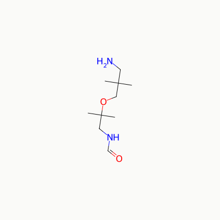 CC(C)(CN)COC(C)(C)CNC=O